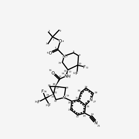 CC(C)(C)OC(=O)N1CCC(F)(F)[C@@H](NC(=O)[C@@]23CN(c4ccc(C#N)c5ncccc45)C[C@]2(C(F)(F)F)C3)C1